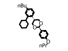 CCCCc1ccc([C@H]2CO[C@H](c3ccc(OCCC)cc3)OC2)c(C2CCCCC2)c1